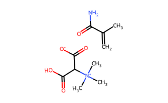 C=C(C)C(N)=O.C[N+](C)(C)C(C(=O)[O-])C(=O)O